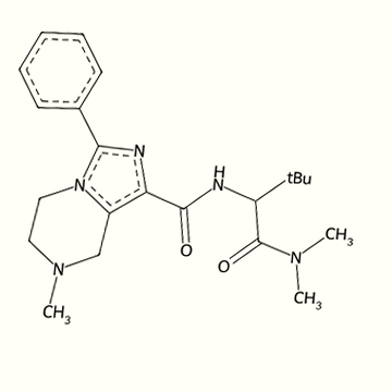 CN1CCn2c(-c3ccccc3)nc(C(=O)NC(C(=O)N(C)C)C(C)(C)C)c2C1